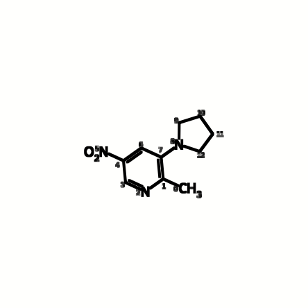 Cc1ncc([N+](=O)[O-])cc1N1CCCC1